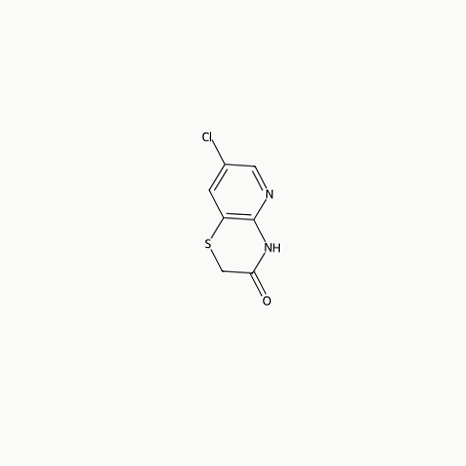 O=C1CSc2cc(Cl)cnc2N1